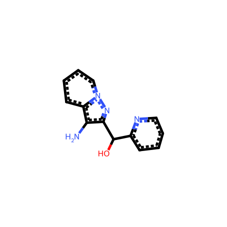 Nc1c(C(O)c2ccccn2)nn2ccccc12